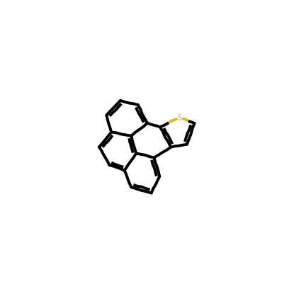 c1cc2ccc3cccc4c5sccc5c(c1)c2c34